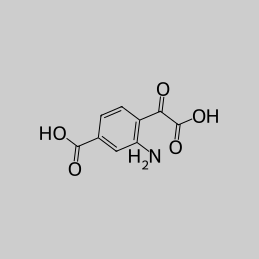 Nc1cc(C(=O)O)ccc1C(=O)C(=O)O